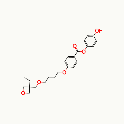 CCC1(COCCCCOc2ccc(C(=O)Oc3ccc(O)cc3)cc2)COC1